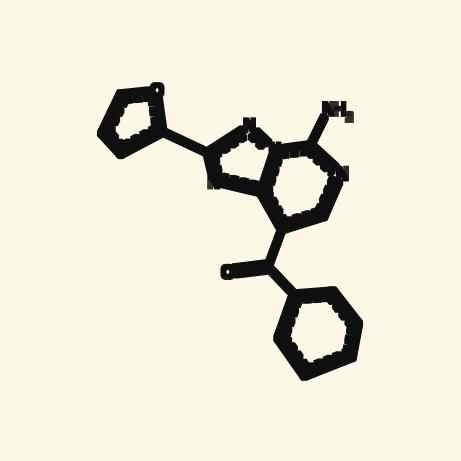 Nc1ncc(C(=O)c2ccccc2)c2nc(-c3ccco3)nn12